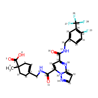 CC1(C(=O)O)CC=C(CNC(=O)c2cc(C(=O)NCc3ccc(F)c(C(F)(F)F)c3)nc3ccnn23)CC1